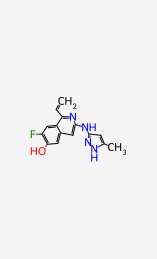 C=Cc1nc(Nc2cc(C)[nH]n2)cc2cc(O)c(F)cc12